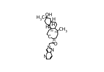 C[C@H]1CC[C@H](C(=O)Cn2cc3ncccc3n2)CCC[C@H]2C1CC[C@@H]1C[C@](C)(O)CC[C@@H]12